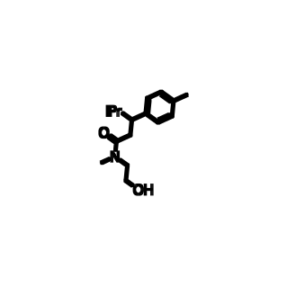 Cc1ccc(C(CC(=O)N(C)CCO)C(C)C)cc1